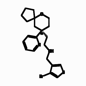 Brc1cscc1CNCC[C@@]1(c2ccccn2)CCOC2(CCCC2)C1